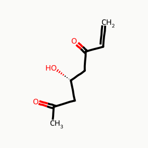 C=CC(=O)C[C@@H](O)CC(C)=O